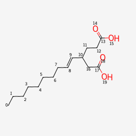 CCCCCCCCC=CC(CCC(=O)O)CC(=O)O